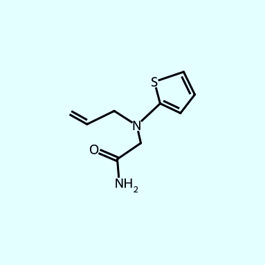 C=CCN(CC(N)=O)c1cccs1